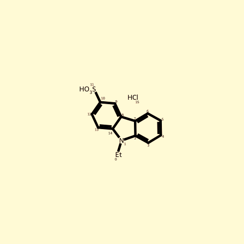 CCn1c2ccccc2c2cc(S(=O)(=O)O)ccc21.Cl